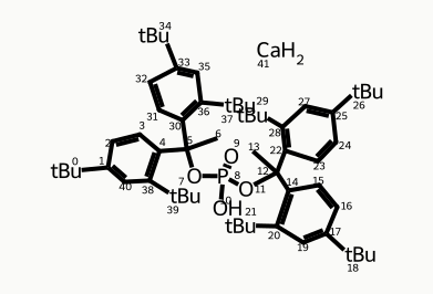 CC(C)(C)c1ccc(C(C)(OP(=O)(O)OC(C)(c2ccc(C(C)(C)C)cc2C(C)(C)C)c2ccc(C(C)(C)C)cc2C(C)(C)C)c2ccc(C(C)(C)C)cc2C(C)(C)C)c(C(C)(C)C)c1.[CaH2]